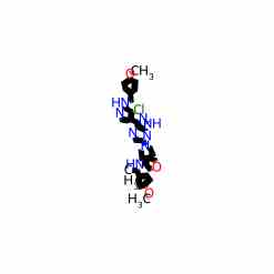 COc1ccc(CNc2nccc(-c3n[nH]c4nc(N5CCC6(CC5)COC[C@H]6NC(C)c5ccc(OC)cc5)cnc34)c2Cl)cc1